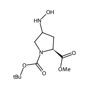 COC(=O)[C@@H]1CC(NO)CN1C(=O)OC(C)(C)C